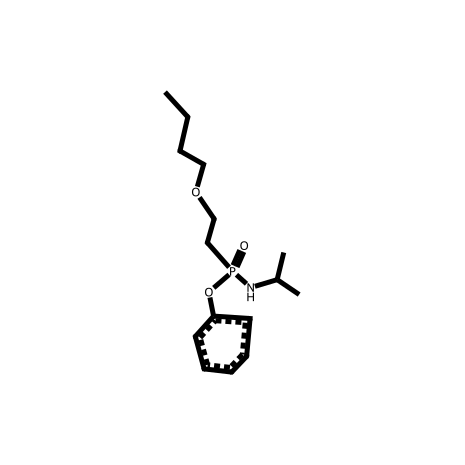 CCCCOCCP(=O)(NC(C)C)Oc1ccccc1